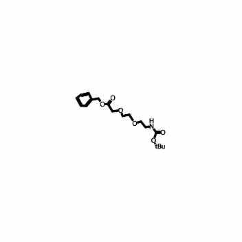 CC(C)(C)OC(=O)NCCOCCOCC(=O)OCc1ccccc1